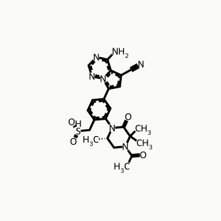 CC(=O)N1C[C@H](C)N(c2cc(-c3cc(C#N)c4c(N)ncnn34)ccc2C[SH](=O)=O)C(=O)C1(C)C